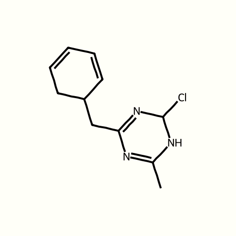 CC1=NC(CC2C=CC=CC2)=NC(Cl)N1